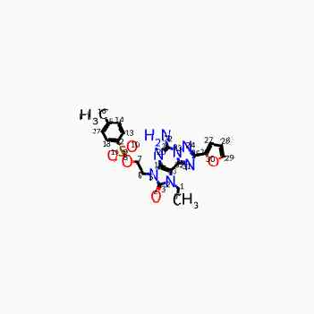 CCn1c(=O)n(CCOS(=O)(=O)c2ccc(C)cc2)c2nc(N)n3nc(-c4ccco4)nc3c21